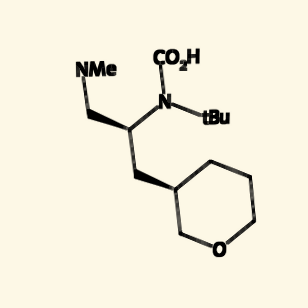 CNC[C@H](C[C@H]1CCCOC1)N(C(=O)O)C(C)(C)C